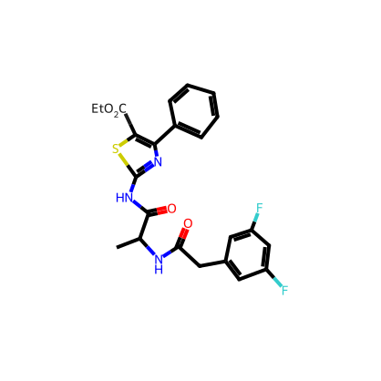 CCOC(=O)c1sc(NC(=O)C(C)NC(=O)Cc2cc(F)cc(F)c2)nc1-c1ccccc1